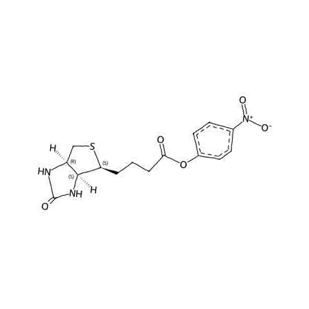 O=C1N[C@H]2[C@H](CS[C@H]2CCCC(=O)Oc2ccc([N+](=O)[O-])cc2)N1